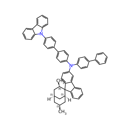 C[C@H]1C[C@@H]2C[C@H](C1)C1(c3ccccc3-c3cc(N(c4ccc(-c5ccccc5)cc4)c4ccc(-c5ccc(-n6c7ccccc7c7ccccc76)cc5)cc4)ccc31)[C@H](C)C2